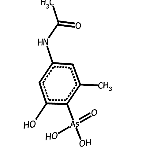 CC(=O)Nc1cc(C)c([As](=O)(O)O)c(O)c1